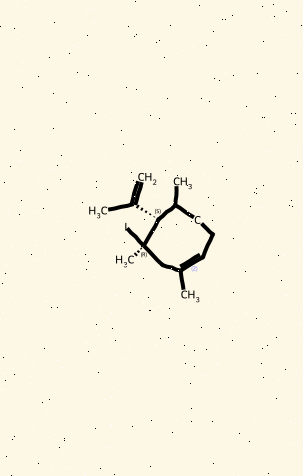 C=C(C)[C@@H]1C(C)CC/C=C(/C)C[C@@]1(C)I